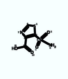 NS(=O)(=O)c1scnc1C(=O)O